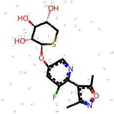 Cc1noc(C)c1-c1ncc(O[C@@H]2SC[C@@H](O)[C@H](O)[C@H]2O)cc1F